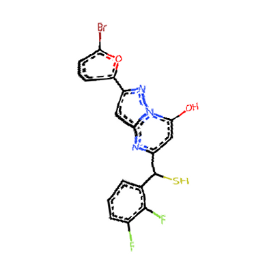 Oc1cc(C(S)c2cccc(F)c2F)nc2cc(-c3ccc(Br)o3)nn12